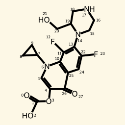 O=C(O)Oc1cn(C2CC2)c2c(F)c(N3CCNCC3CO)c(F)cc2c1=O